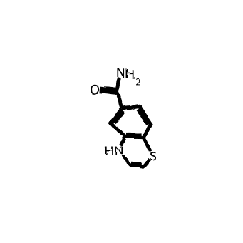 NC(=O)c1ccc2c(c1)NC=CS2